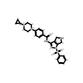 O=C(Nc1nn(S(=O)(=O)c2ccccc2)c2c1CNC2)c1ccc(N2CCN(C3CC3)CC2)cc1